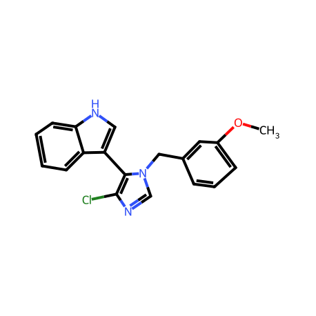 COc1cccc(Cn2cnc(Cl)c2-c2c[nH]c3ccccc23)c1